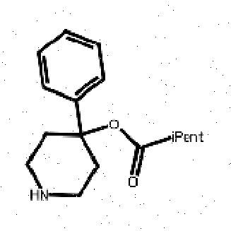 CCCC(C)C(=O)OC1(c2ccccc2)CCNCC1